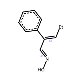 CC/C=C(/C=N/O)c1ccccc1